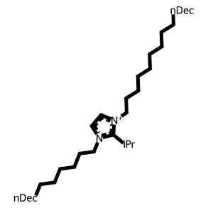 CCCCCCCCCCCCCCCCCCC[n+]1ccn(CCCCCCCCCCCCCCCC)c1C(C)C